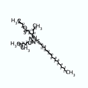 CCCCCCCCCCCCCCCCCCSc1nc(OCCCN(C)C)nc(C(CCCC)CCC(=S)OCCCC)n1